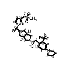 CN(Cc1ccc(N2CCCC2)cc1C(F)(F)F)N1C[C@H]2CN(C(=O)n3ccc(NS(C)(=O)=O)n3)C[C@H]2C1